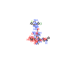 CC[C@H](C)[C@@H]([C@@H](CC(=O)N1CCC[C@H]1C[C@@H](C)C(=O)N[C@H](C)[C@@H](O)c1ccccc1)OC)N(C)C(=O)[C@@H](NC(=O)[C@H](C(C)C)N(C)C(=O)OCc1ccc(NC(=O)[C@H](CCCNC(N)=O)NC(=O)[C@@H](NC(=O)CCC(=O)NCCNc2ncc(-c3cc(C)cc(F)c3)c(N3CCC(N)CC3)c2-c2nc3ccc(Cl)cc3[nH]2)C(C)C)c(O[C@@H]2O[C@H](C(=O)O)[C@@H](O)[C@H](O)[C@H]2O)c1)C(C)C